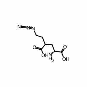 [N-]=[N+]=NCCC(C[C@H](N)C(=O)O)C(=O)O